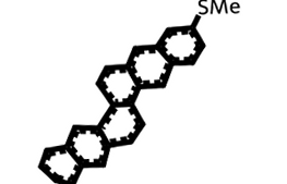 CSc1ccc2cc3c(ccc4c5cc6ccccc6cc5ccc34)cc2c1